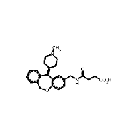 CN1CCC(=C2c3ccccc3COc3ccc(CNC(=O)CCC(=O)O)cc32)CC1